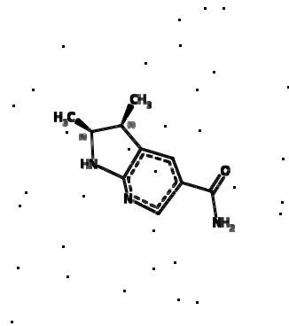 C[C@@H]1Nc2ncc(C(N)=O)cc2[C@@H]1C